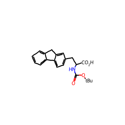 CC(C)(C)OC(=O)NC(Cc1ccc2c(c1)Cc1ccccc1-2)C(=O)O